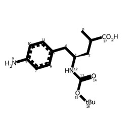 CC(C[C@H](Cc1ccc(N)cc1)NC(=O)OC(C)(C)C)C(=O)O